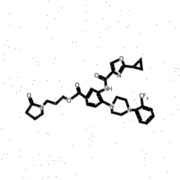 O=C(OCCCN1CCCC1=O)c1ccc(N2CCN(c3ccccc3C(F)(F)F)CC2)c(NC(=O)c2coc(C3CC3)n2)c1